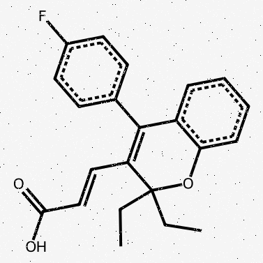 CCC1(CC)Oc2ccccc2C(c2ccc(F)cc2)=C1/C=C/C(=O)O